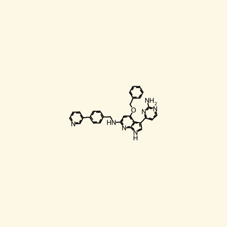 Nc1nccc(-c2c[nH]c3nc(NCc4ccc(-c5cccnc5)cc4)cc(OCc4ccccc4)c23)n1